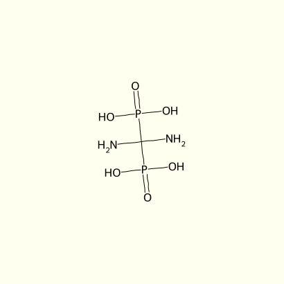 NC(N)(P(=O)(O)O)P(=O)(O)O